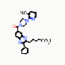 N#Cc1cccnc1N1CCN(C(=O)c2ccc3nc(C4=CCCC=C4)c(CCCCC(=O)O)nc3c2)CC1